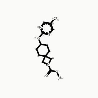 CC(C)(C)OC(=O)N1CC2(CCC(Oc3ncc(C(F)(F)F)cn3)CC2)C1